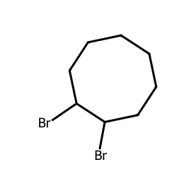 BrC1CCCCCCC1Br